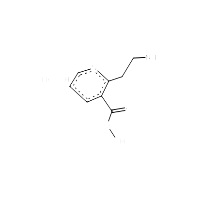 COC(=O)c1cccnc1CCN.Cl.Cl